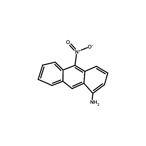 Nc1cccc2c([N+](=O)[O-])c3ccccc3cc12